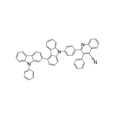 N#Cc1c(-c2ccccc2)c(-c2ccc(-n3c4ccccc4c4c(-c5ccc6c7ccccc7n(-c7ccccc7)c6c5)cccc43)cc2)nc2ccccc12